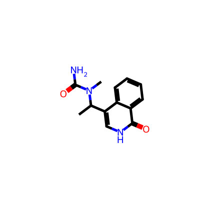 CC(c1c[nH]c(=O)c2ccccc12)N(C)C(N)=O